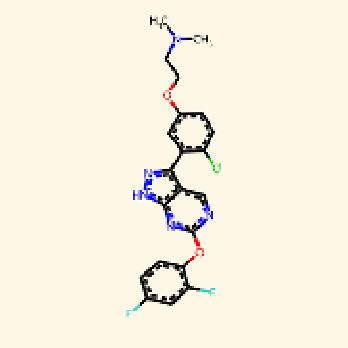 CN(C)CCOc1ccc(Cl)c(-c2n[nH]c3nc(Oc4ccc(F)cc4F)ncc23)c1